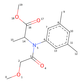 COCC(=O)N(c1cc(C)cc(C)c1)C(C)C(=O)OC